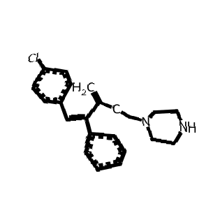 C=C(CCN1CCNCC1)/C(=C\c1ccc(Cl)cc1)c1ccccc1